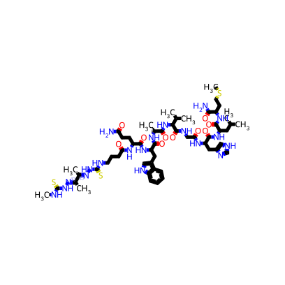 CNC(=S)N/N=C(C)/C(C)=N/NC(=S)NCCCC(=O)NC(CCC(N)=O)C(=O)NC(Cc1c[nH]c2ccccc12)C(=O)N[C@@H](C)C(=O)NC(C(=O)NCC(=O)NC(Cc1c[nH]cn1)C(=O)NC(CC(C)C)C(=O)NC(CCSC)C(N)=O)C(C)C